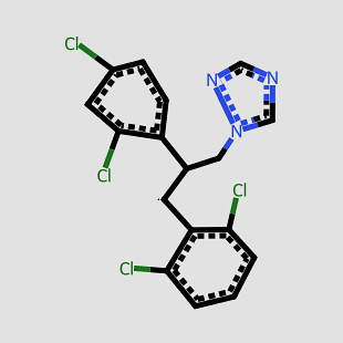 Clc1ccc(C([CH]c2c(Cl)cccc2Cl)Cn2cncn2)c(Cl)c1